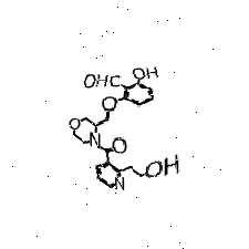 O=Cc1c(O)cccc1OCC1COCCN1C(=O)c1cccnc1CCO